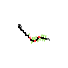 C=CCCCCCCC(F)COCC(F)(F)OC(F)(F)C(F)(F)OC(F)(F)C(F)(F)C(F)(F)C(F)(F)F